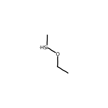 CCO[SiH]C